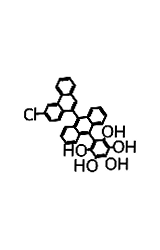 Oc1c(O)c(O)c(-c2c3ccccc3c(-c3cc4ccccc4c4cc(Cl)ccc34)c3ccccc23)c(O)c1O